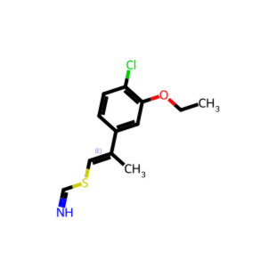 CCOc1cc(/C(C)=C/SC=N)ccc1Cl